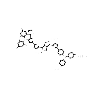 CCCCCCCCN1C(=O)C2=C(c3ccc(-c4cc(B(c5c(C)cc(C)cc5C)c5c(C)cc(C)cc5C)c(-c5nccs5)s4)s3)N(CCCCCCCC)C(=O)C2=C1c1ccc(-c2ccc(N(c3ccc(OCCCCCC)cc3)c3ccc(OCCCCCC)cc3)cc2)s1